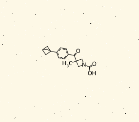 CC1(C(=O)c2ccc(C34CC(C3)C4)cc2)CN(C(=O)O)C1